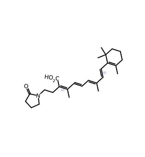 CC(=CC=C/C(C)=C(/CCN1CCCC1=O)C(=O)O)/C=C/C1=C(C)CCCC1(C)C